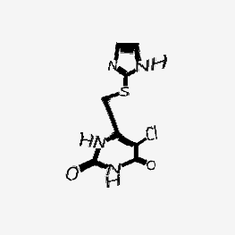 O=c1[nH]c(CSc2ncc[nH]2)c(Cl)c(=O)[nH]1